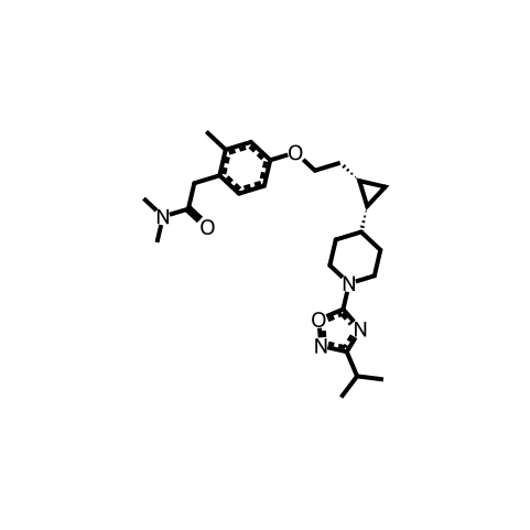 Cc1cc(OCC[C@@H]2C[C@@H]2C2CCN(c3nc(C(C)C)no3)CC2)ccc1CC(=O)N(C)C